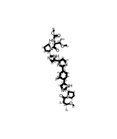 [CH2][C@H](C(=O)N1CCC[C@H]1c1ncc(-c2ccc(-c3nccc(-c4cnc([C@@H]5CCCN5C(=O)[C@@H](NC(=O)OC)[C@@H](C)OC)[nH]4)n3)cc2F)[nH]1)[C@@H](C)OC